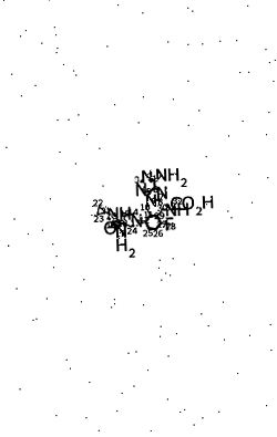 Nc1ncnc2c1ncn2Cc1c(N2CC[C@](N)(C(=O)NC3CC3)C2)ccc(F)c1CNC(=O)O